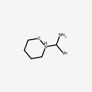 CC(C)C(N)[SiH]1CCCCO1